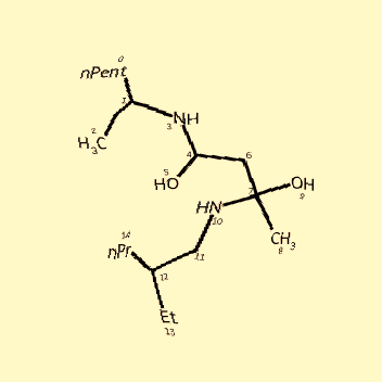 CCCCCC(C)NC(O)CC(C)(O)NCC(CC)CCC